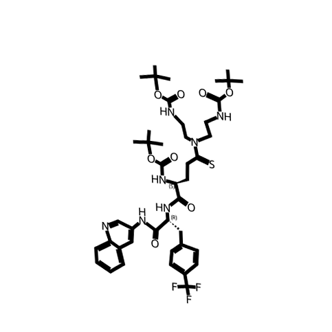 CC(C)(C)OC(=O)NCCN(CCNC(=O)OC(C)(C)C)C(=S)CC[C@H](NC(=O)OC(C)(C)C)C(=O)N[C@H](Cc1ccc(C(F)(F)F)cc1)C(=O)Nc1cnc2ccccc2c1